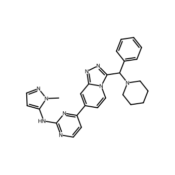 Cn1nccc1Nc1nccc(-c2ccn3c(C(c4ccccc4)N4CCCCC4)nnc3c2)n1